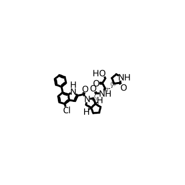 O=C1NCC[C@H]1C[C@H](NC(=O)[C@@H]1[C@H]2CCC[C@H]2CN1C(=O)c1cc2c(Cl)ccc(-c3ccccc3)c2[nH]1)C(=O)CO